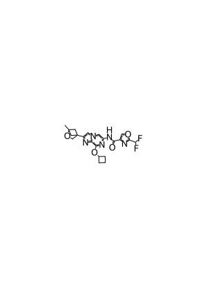 CC12CC(c3cn4cc(NC(=O)c5coc(C(F)F)n5)nc(OC5CCC5)c4n3)(CO1)C2